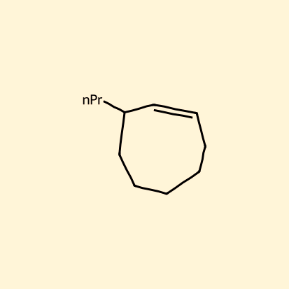 [CH2]CCC1/C=C\CCCCC1